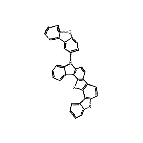 c1ccc2c(c1)sc1ccc(-n3c4ccccc4c4c5sc6c(ccc7sc8ccccc8c76)c5ccc43)cc12